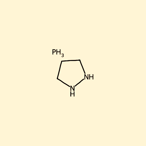 C1CNNC1.P